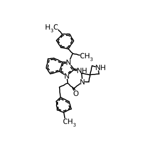 Cc1ccc(CC(C(=O)N2CC3(CNC3)C2)n2c(=N)n(C(C)c3ccc(C)cc3)c3ccccc32)cc1